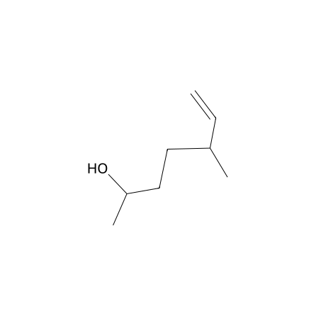 C=CC(C)CCC(C)O